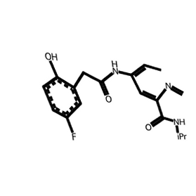 C=N/C(=C\C(=C/C)NC(=O)Cc1cc(F)ccc1O)C(=O)NC(C)C